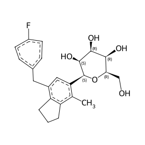 Cc1c([C@@H]2O[C@H](CO)[C@H](O)[C@H](O)[C@@H]2O)cc(Cc2ccc(F)cc2)c2c1CCC2